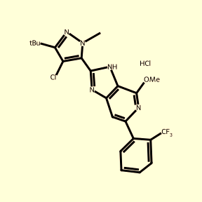 COc1nc(-c2ccccc2C(F)(F)F)cc2nc(-c3c(Cl)c(C(C)(C)C)nn3C)[nH]c12.Cl